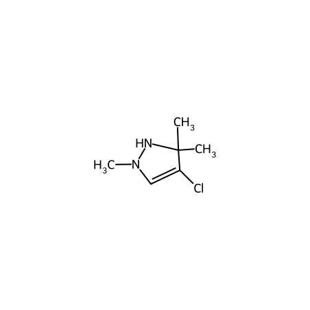 CN1C=C(Cl)C(C)(C)N1